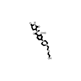 CN(C(=O)c1ccc(N2CCN(CCOCCO)CC2)cc1C=O)C1CCC(=O)NC1=O